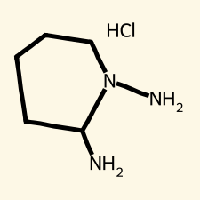 Cl.NC1CCCCN1N